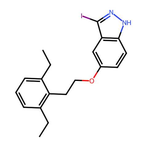 CCc1cccc(CC)c1CCOc1ccc2[nH]nc(I)c2c1